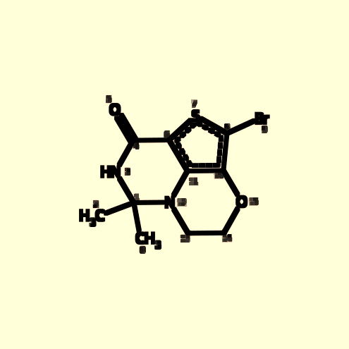 CC1(C)NC(=O)c2sc(Br)c3c2N1CCO3